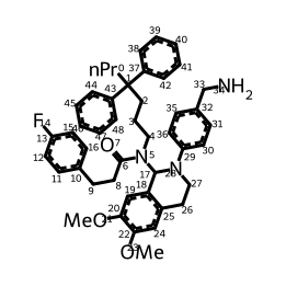 CCCC(CCCN(C(=O)CCc1ccc(F)cc1)C1c2cc(OC)c(OC)cc2CCN1c1ccc(CN)cc1)(c1ccccc1)c1ccccc1